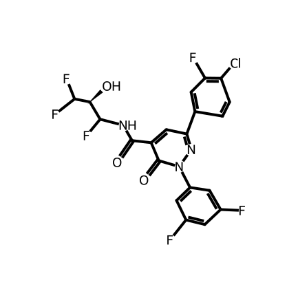 O=C(NC(F)[C@H](O)C(F)F)c1cc(-c2ccc(Cl)c(F)c2)nn(-c2cc(F)cc(F)c2)c1=O